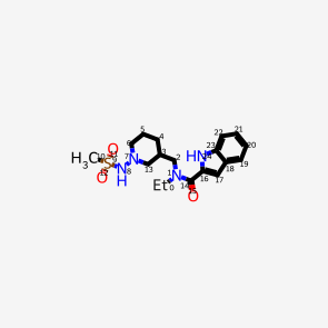 CCN(CC1CCCN(NS(C)(=O)=O)C1)C(=O)c1cc2ccccc2[nH]1